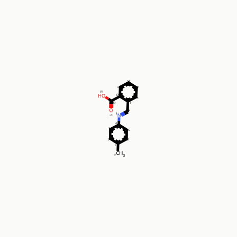 Cc1ccc(N=Cc2ccccc2C(=O)O)cc1